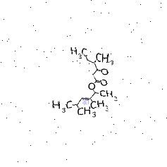 CCC(C)C(=O)CC(=O)OC(C)/C(C)=C/C(C)C